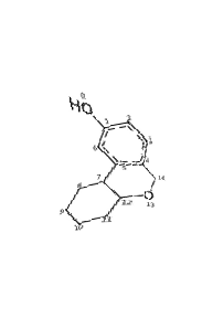 Oc1ccc2c(c1)C1CCCCC1OC2